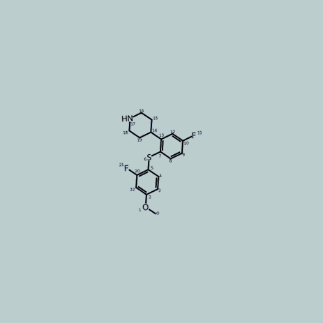 COc1ccc(Sc2ccc(F)cc2C2CCNCC2)c(F)c1